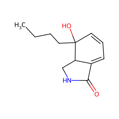 CCCCC1(O)C=CC=C2C(=O)NCC21